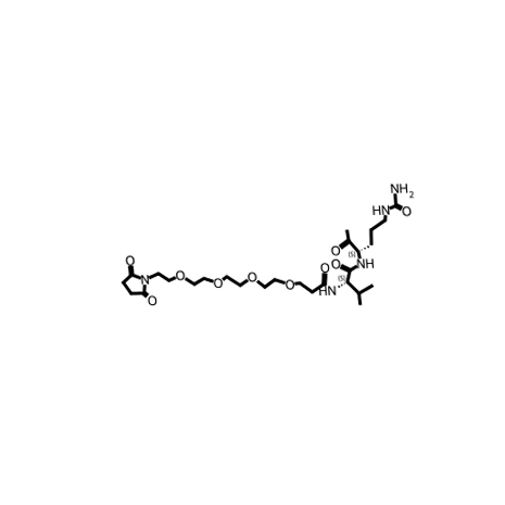 CC(=O)[C@H](CCCNC(N)=O)NC(=O)[C@@H](NC(=O)CCOCCOCCOCCOCCN1C(=O)CCC1=O)C(C)C